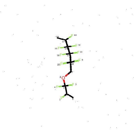 CC(F)C(F)(F)OCC(F)(F)C(F)(F)C(F)(F)C(C)F